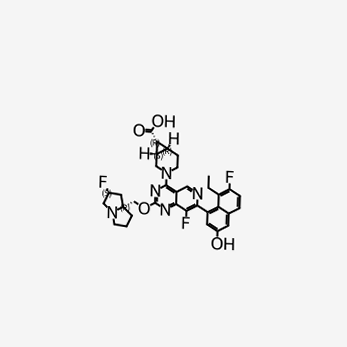 CCc1c(F)ccc2cc(O)cc(-c3ncc4c(N5CC[C@@H]6[C@H](C5)[C@@H]6C(=O)O)nc(OC[C@]56CCCN5C[C@@H](F)C6)nc4c3F)c12